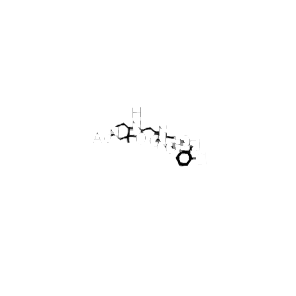 CC(=O)N1CCC(NC(=O)Cc2nc(CS(=O)(=O)c3cccc(Cl)c3Cl)no2)C(C)(C)C1